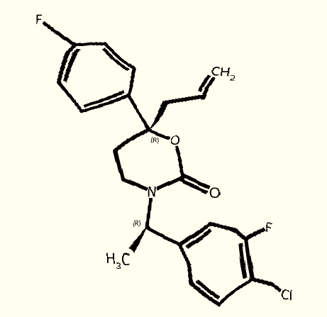 C=CC[C@]1(c2ccc(F)cc2)CCN([C@H](C)c2ccc(Cl)c(F)c2)C(=O)O1